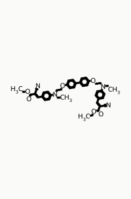 CCOC(=O)/C(C#N)=C/c1ccc(N(CC)CCOc2ccc(-c3ccc(OCCN(CC)c4ccc(/C=C(\C#N)C(=O)OCC)cc4)cc3)cc2)cc1